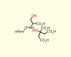 CCCCCON[C@@H](CO)C(=O)O.O=C(O)CC(O)(CC(=O)O)C(=O)O